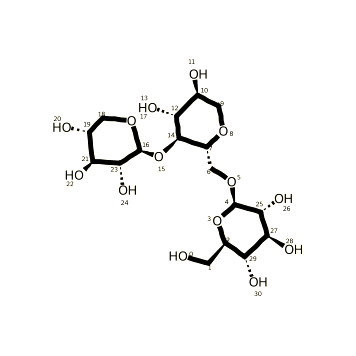 OC[C@H]1O[C@@H](OC[C@H]2O[CH][C@H](O)[C@@H](O)[C@@H]2O[C@@H]2OC[C@@H](O)[C@H](O)[C@H]2O)[C@H](O)[C@@H](O)[C@@H]1O